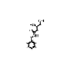 O=C(C[C@H](O)CO)NCc1ccccc1